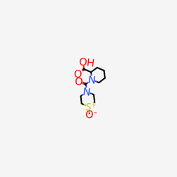 O=C(O)C1CCCCN1C(=O)N1CC[S+]([O-])CC1